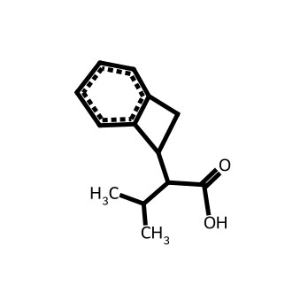 CC(C)C(C(=O)O)C1Cc2ccccc21